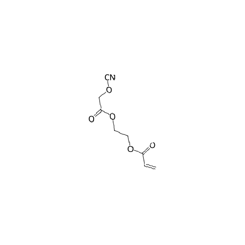 C=CC(=O)OCCOC(=O)COC#N